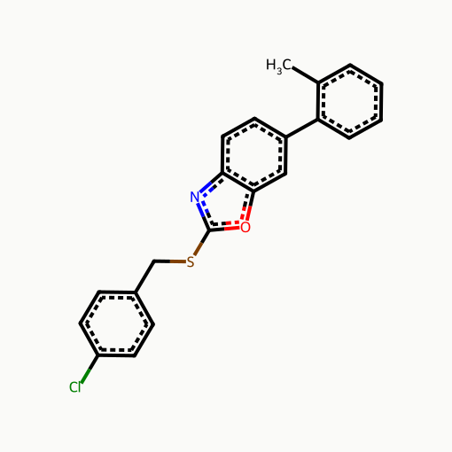 Cc1ccccc1-c1ccc2nc(SCc3ccc(Cl)cc3)oc2c1